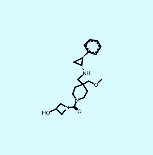 COCC1(CN[C@@H]2C[C@H]2c2ccccc2)CCN(C(=O)N2CC(O)C2)CC1